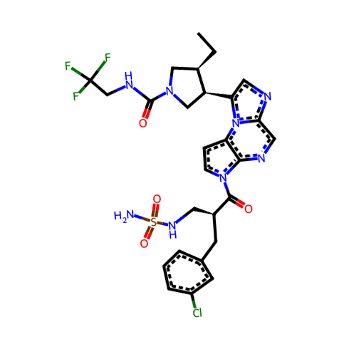 CC[C@@H]1CN(C(=O)NCC(F)(F)F)C[C@@H]1c1cnc2cnc3c(ccn3C(=O)[C@H](CNS(N)(=O)=O)Cc3cccc(Cl)c3)n12